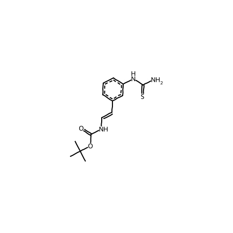 CC(C)(C)OC(=O)NC=Cc1cccc(NC(N)=S)c1